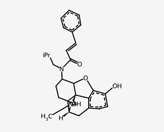 CC(C)CN(C(=O)/C=C/c1ccccc1)C1CC[C@@]2(O)[C@H]3Cc4ccc(O)c5c4[C@@]2(CCN3C)C1O5